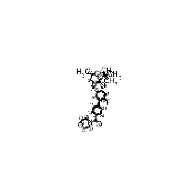 CC(C)CN(Oc1ccc(F)c(-c2ccc(C(=O)N3CCOCC3)cc2)c1)C(=O)OC(C)(C)C